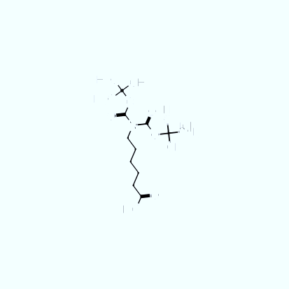 CC(C)(C)OC(=O)N(CCCCCC(=O)O)C(=O)OC(C)(C)C.Cl